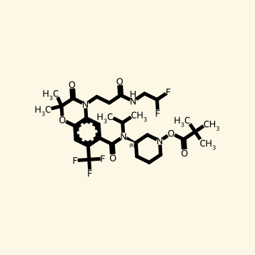 CC(C)N(C(=O)c1cc2c(cc1C(F)(F)F)OC(C)(C)C(=O)N2CCC(=O)NCC(F)F)[C@@H]1CCCN(OC(=O)C(C)(C)C)C1